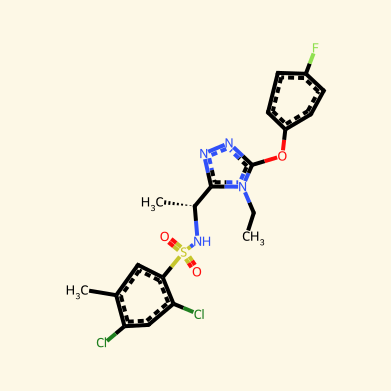 CCn1c(Oc2ccc(F)cc2)nnc1[C@@H](C)NS(=O)(=O)c1cc(C)c(Cl)cc1Cl